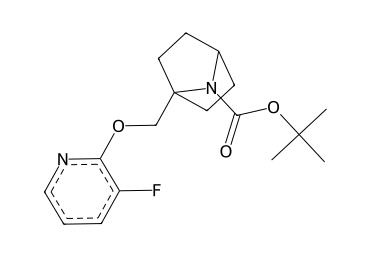 CC(C)(C)OC(=O)N1C2CCC1(COc1ncccc1F)CC2